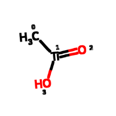 [CH3][Ti](=[O])[OH]